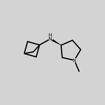 CN1CC[C@H](NC23CC(C2)C3)C1